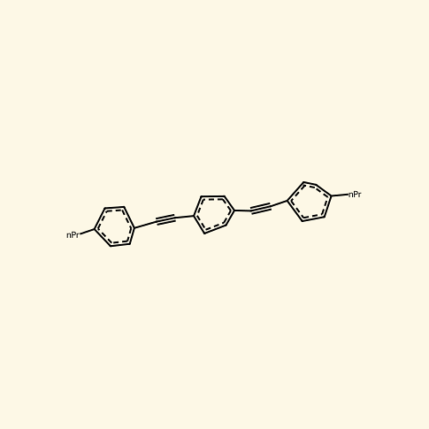 CCCc1ccc(C#Cc2ccc(C#Cc3ccc(CCC)cc3)cc2)cc1